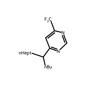 CCCCCCCC(CCCC)c1cc(C(F)(F)F)ncn1